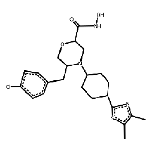 Cc1nc(C2CCC(N3CC(C(=O)NO)OCC3Cc3ccc(Cl)cc3)CC2)sc1C